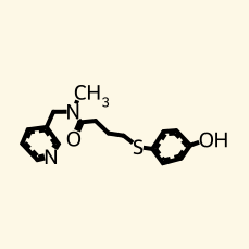 CN(Cc1cccnc1)C(=O)CCCSc1ccc(O)cc1